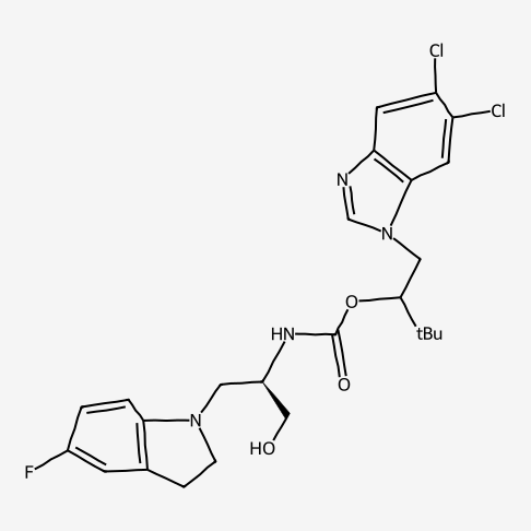 CC(C)(C)C(Cn1cnc2cc(Cl)c(Cl)cc21)OC(=O)N[C@@H](CO)CN1CCc2cc(F)ccc21